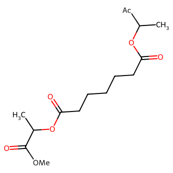 COC(=O)C(C)OC(=O)CCCCCC(=O)OC(C)C(C)=O